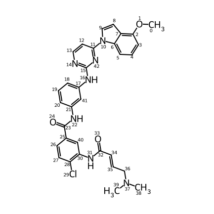 COc1cccc2c1ccn2-c1ccnc(Nc2cccc(NC(=O)c3ccc(Cl)c(NC(=O)/C=C/CN(C)C)c3)c2)n1